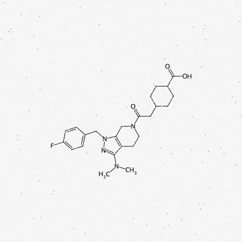 CN(C)c1nn(Cc2ccc(F)cc2)c2c1CCN(C(=O)CC1CCC(C(=O)O)CC1)C2